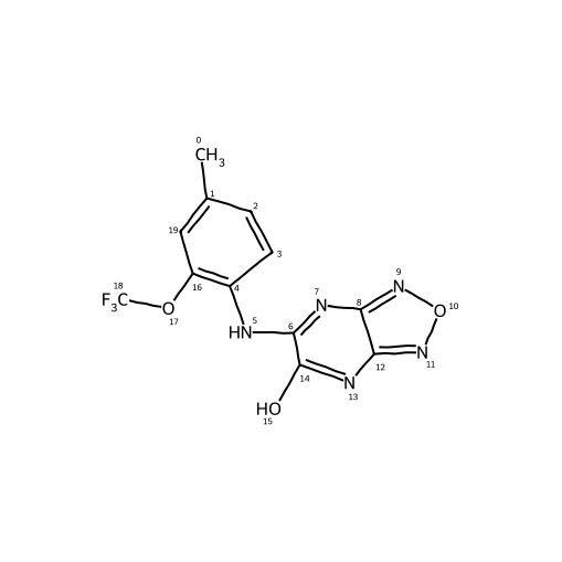 Cc1ccc(Nc2nc3nonc3nc2O)c(OC(F)(F)F)c1